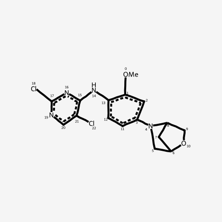 COc1cc(N2CC3CC2CO3)ccc1Nc1nc(Cl)ncc1Cl